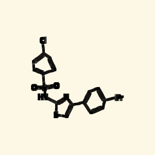 CC(C)c1ccc(-c2csc(NS(=O)(=O)c3ccc(Cl)cc3)n2)cc1